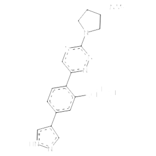 CN[C@H]1CCN(c2ncc(-c3ccc(-c4cn[nH]c4)cc3O)nn2)C1.Cl.Cl